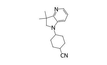 CC1(C)CN(C2CCC(C#N)CC2)c2cccnc21